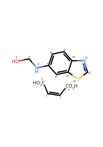 O=C(O)/C=C\C(=O)O.OCNc1ccc2ncsc2c1